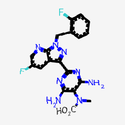 CN(C(=O)O)c1c(N)nc(-c2nn(Cc3ccccc3F)c3ncc(F)cc23)nc1N